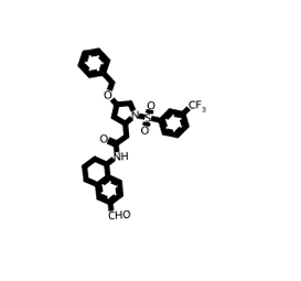 O=Cc1ccc2c(c1)CCCC2NC(=O)CC1CC(OCc2ccccc2)CN1S(=O)(=O)c1cccc(C(F)(F)F)c1